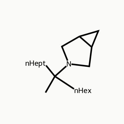 CCCCCCCC(C)(CCCCCC)N1CC2CC2C1